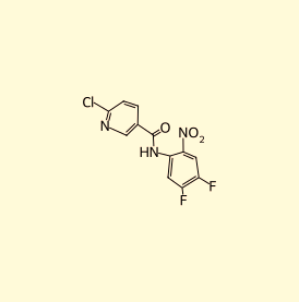 O=C(Nc1cc(F)c(F)cc1[N+](=O)[O-])c1ccc(Cl)nc1